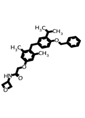 Cc1cc(OCC(=O)NC2COC2)cc(C)c1Cc1ccc(OCc2ccccc2)c(C(C)C)c1